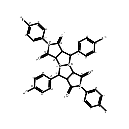 Cc1ccc(N2C(=O)C3C(C2=O)N2C(c4ccc(F)cc4)C4C(=O)N(c5ccc(F)cc5)C(=O)C4N2C3c2ccc(F)cc2)cc1